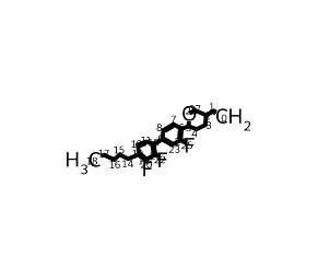 C=CC1CCC(c2ccc(-c3ccc(CCCCC)c(F)c3F)cc2F)OC1